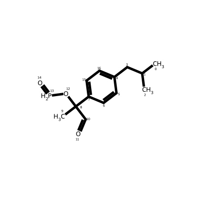 CC(C)Cc1ccc(C(C)(C=O)O[PH2]=O)cc1